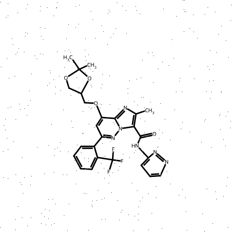 Cc1nc2c(OCC3COC(C)(C)O3)cc(-c3ccccc3C(F)(F)F)nn2c1C(=O)Nc1cccnn1